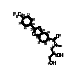 CN(CC(O)CO)C(=O)c1ccc2oc(-c3ccc(C(F)(F)F)cc3)nc2c1